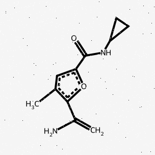 C=C(N)c1oc(C(=O)NC2CC2)cc1C